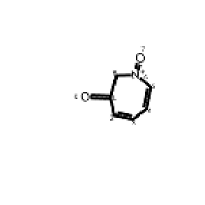 O=C1C=CC=C[N+](=O)C1